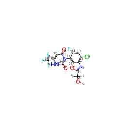 COC(C)(C)c1nc2c(Cl)cc(F)c(-n3c(=O)cc(C(F)(F)F)[nH]c3=O)c2o1